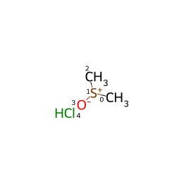 C[S+](C)[O-].Cl